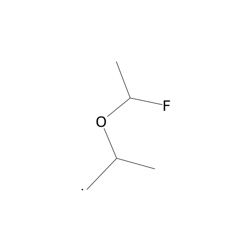 [CH2]C(C)OC(C)F